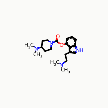 CN(C)CCc1c[nH]c2cccc(OC(=O)N3CCC(N(C)C)CC3)c12